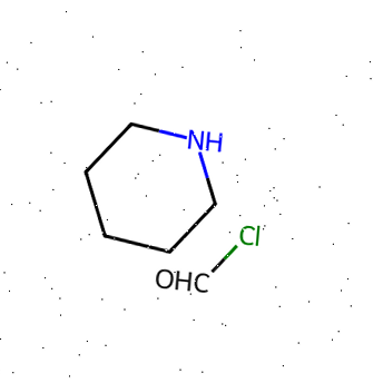 C1CCNCC1.O=CCl